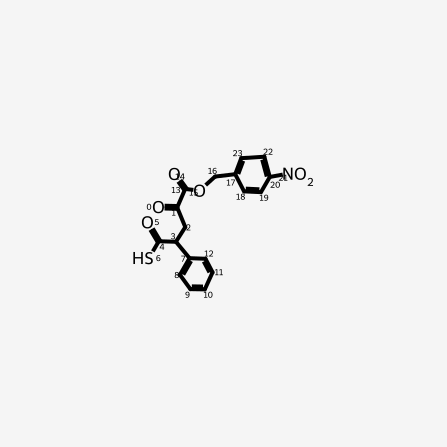 O=C(CC(C(=O)S)c1ccccc1)C(=O)OCc1ccc([N+](=O)[O-])cc1